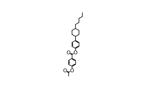 CCCCCC1CCC(c2ccc(OC(=O)c3ccc(OC(C)=O)cc3)cc2)CC1